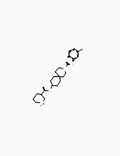 O=C(NC1CCC2(CC1)CCN(c1nc3cc(Cl)ccc3o1)CC2)C1CCCS(=O)(=O)C1